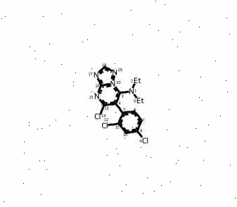 CCN(CC)c1c(-c2ccc(Cl)cc2Cl)c(Cl)nc2ncnn12